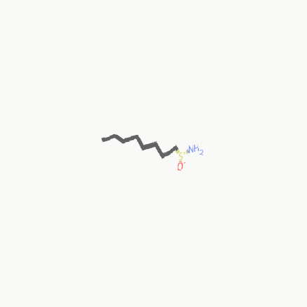 CCCCCCCC[S+](N)[O-]